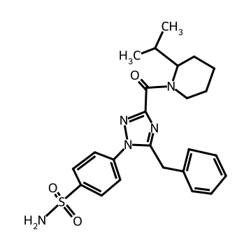 CC(C)C1CCCCN1C(=O)c1nc(Cc2ccccc2)n(-c2ccc(S(N)(=O)=O)cc2)n1